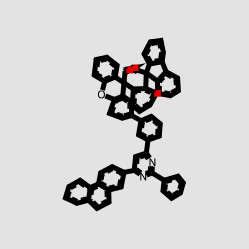 c1ccc(-c2nc(-c3cccc(-c4ccc5c(c4)C4(c6ccccc6O5)c5ccccc5C5(c6ccccc6-c6ccccc65)c5ccccc54)c3)cc(-c3ccc4c(ccc5ccccc54)c3)n2)cc1